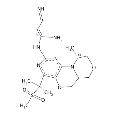 C[C@@H]1COCC2COc3c(nc(N/C(N)=C/C=N)nc3C(C)(C)S(C)(=O)=O)N21